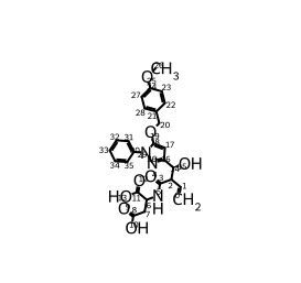 C=CC(C(=O)NC(CC(=O)O)C(=O)O)[C@H](O)c1cc(OCc2ccc(OC)cc2)n(-c2ccccc2)n1